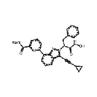 CNC(=O)c1cccc(-c2cccc3c(C#CC4CC4)n(C(Cc4ccccc4)C(=O)NO)nc23)c1